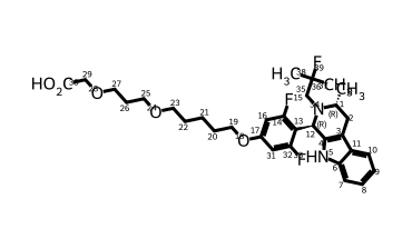 C[C@@H]1Cc2c([nH]c3ccccc23)[C@@H](c2c(F)cc(OCCCCCOCCCOCC(=O)O)cc2F)N1CC(C)(C)F